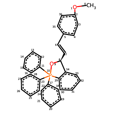 COc1ccc(/C=C/[C@@H]2OP(c3ccccc3)(c3ccccc3)(c3ccccc3)c3ccccc32)cc1